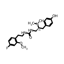 COc1cc(F)ccc1CCNC(=O)NC[C@H](Cc1ccc(O)cc1)N(C)C